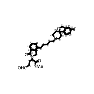 CNC(=O)C(CCC=O)N1Cc2c(CCCCCN3CCC4(CC3)OCc3cc(F)ccc34)cccc2C1=O